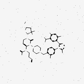 CC(C)c1cc(-c2nnc(O)n2-c2ccc(CN3CCN(N4C(=O)N([C@@H]5O[C@H](CO)[C@@H](O)C5(F)F)CC=C4N(CCC=O)C(=O)O)CC3)c(F)c2)c(O)cc1O